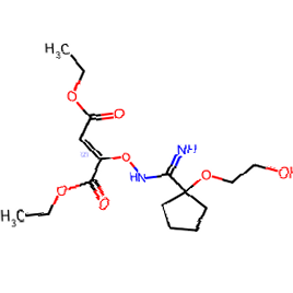 CCOC(=O)/C=C(\ONC(=N)C1(OCCO)CCCC1)C(=O)OCC